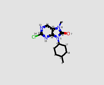 CC1CCC(n2c(=O)n(C)c3cnc(Cl)nc32)CC1